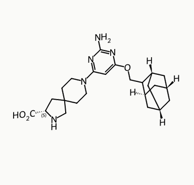 Nc1nc(OCC2[C@H]3C[C@H]4C[C@H](C3)C[C@H]2C4)cc(N2CCC3(CC2)CN[C@H](C(=O)O)C3)n1